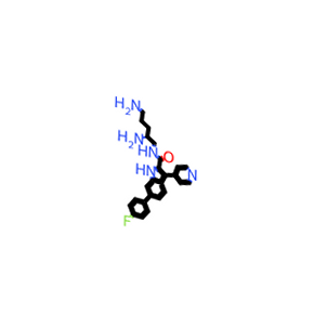 NCCC[C@H](N)CNC(=O)c1[nH]c2cc(-c3ccc(F)cc3)ccc2c1-c1ccncc1